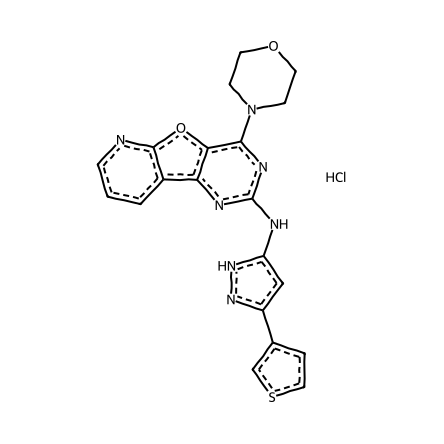 Cl.c1cnc2oc3c(N4CCOCC4)nc(Nc4cc(-c5ccsc5)n[nH]4)nc3c2c1